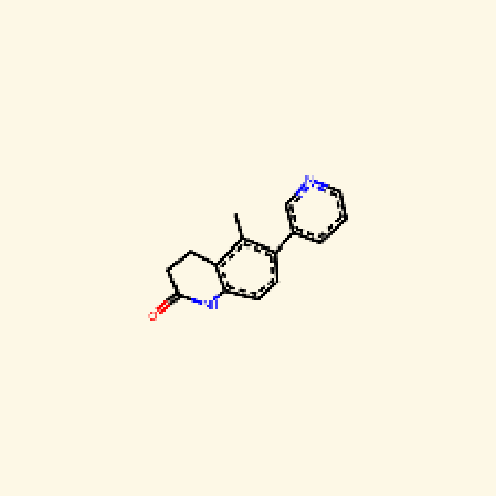 Cc1c(-c2cccnc2)ccc2c1CCC(=O)N2